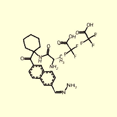 C[C@H](N)C(=O)NC1(C(=O)c2ccc3cc(/C=N\N)ccc3c2)CCCCC1.O=C(O)C(F)(F)F.O=C(O)C(F)(F)F